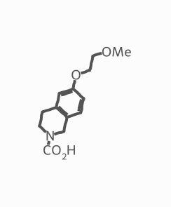 COCCOc1ccc2c(c1)CCN(C(=O)O)C2